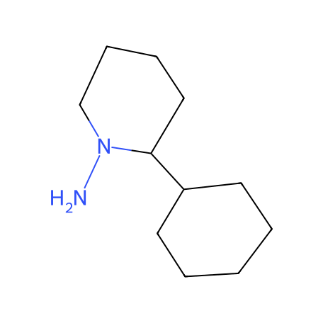 NN1CCCCC1C1CCCCC1